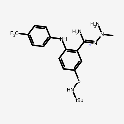 CN(N)/N=C(\N)c1cc(SNC(C)(C)C)ccc1Nc1ccc(C(F)(F)F)cc1